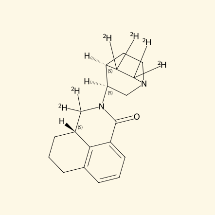 [2H]C1([2H])[C@H]2CCCc3cccc(c32)C(=O)N1[C@@H]1CN2CC[C@H]1C([2H])([2H])C2([2H])[2H]